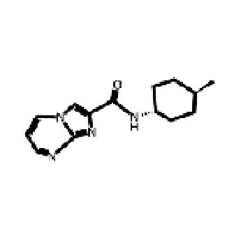 C[C@H]1CC[C@H](NC(=O)c2cn3cccnc3n2)CC1